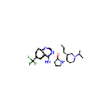 CCC[C@H]1CN(C(C)C)CC[C@@H]1N1CC[C@H](Nc2ncnc3ccc(C(F)(F)F)cc23)C1=O